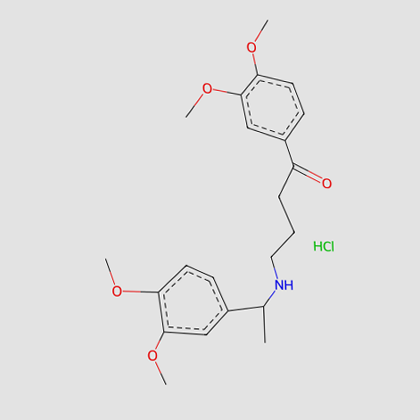 COc1ccc(C(=O)CCCNC(C)c2ccc(OC)c(OC)c2)cc1OC.Cl